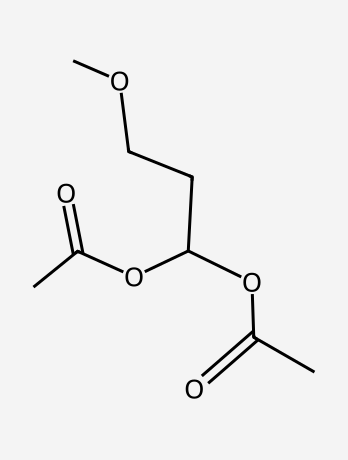 COCCC(OC(C)=O)OC(C)=O